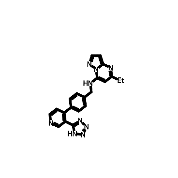 CCc1cc(NCc2ccc(-c3ccncc3-c3nnn[nH]3)cc2)n2nccc2n1